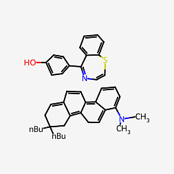 CCCCC1(CCCC)CC=c2ccc3c(c2C1)CC=c1c(N(C)C)cccc1=3.Oc1ccc(C2=NC=CSc3ccccc32)cc1